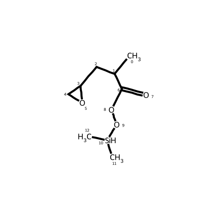 CC(CC1CO1)C(=O)OO[SiH](C)C